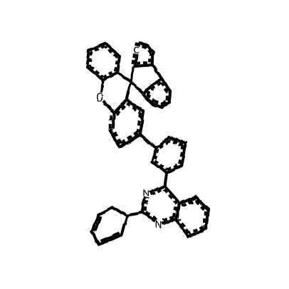 C1=CCC(c2nc(-c3cccc(-c4ccc5c(c4)C4(c6ccccc6O5)c5ccccc5-c5ccccc54)c3)c3ccccc3n2)C=C1